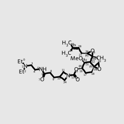 CCN(CC)CCNC(=O)CCC1CN(C(=O)O[C@@H]2CC[C@]3(CO3)C([C@@]3(C)O[C@@H]3CC=C(C)C)[C@@H]2OC)C1